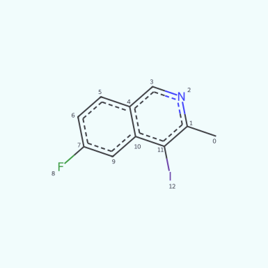 Cc1ncc2ccc(F)cc2c1I